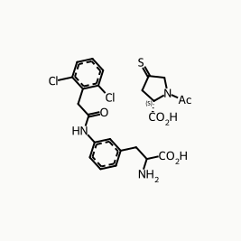 CC(=O)N1CC(=S)C[C@H]1C(=O)O.NC(Cc1cccc(NC(=O)Cc2c(Cl)cccc2Cl)c1)C(=O)O